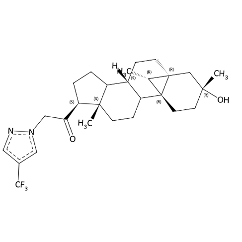 C[C@@H]1[C@]23CC[C@H]4C5CC[C@H](C(=O)Cn6cc(C(F)(F)F)cn6)[C@@]5(C)CCC4[C@]12CC[C@@](C)(O)C3